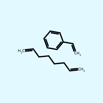 C=CCCCCC=C.C=Cc1ccccc1